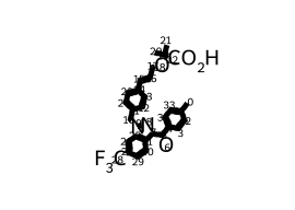 Cc1ccc(C(=O)c2nn(Cc3ccc(C=CCOC(C)(C)C(=O)O)cc3)c3cc(C(F)(F)F)ccc23)cc1